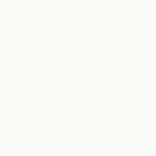 NC(=O)c1nc2c(o1)CCCC2=O